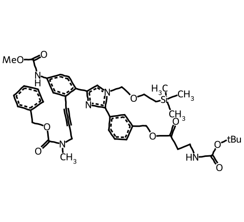 COC(=O)Nc1ccc(-c2cn(COCC[Si](C)(C)C)c(-c3cccc(COC(=O)CCNC(=O)OC(C)(C)C)c3)n2)c(C#CCN(C)C(=O)OCc2ccccc2)c1